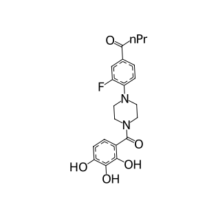 CCCC(=O)c1ccc(N2CCN(C(=O)c3ccc(O)c(O)c3O)CC2)c(F)c1